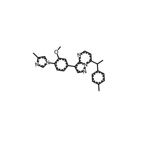 COc1cc(-c2cnn3c(C(C)c4ccc(C)cc4)ccnc23)ccc1-n1cnc(C)c1